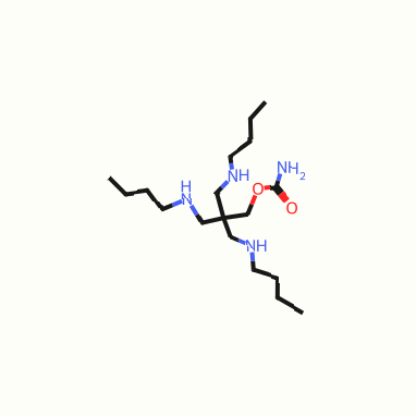 CCCCNCC(CNCCCC)(CNCCCC)COC(N)=O